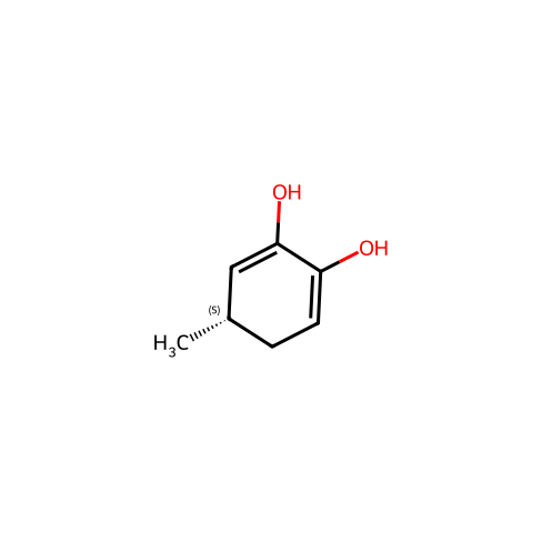 C[C@@H]1C=C(O)C(O)=CC1